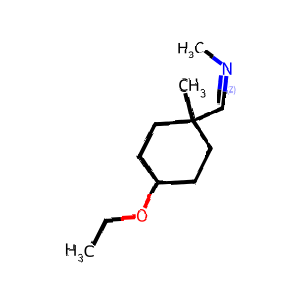 CCOC1CCC(C)(/C=N\C)CC1